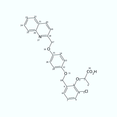 CC(Oc1c(Cl)cccc1COc1ccc(OCc2ccc3ccccc3n2)cc1)C(=O)O